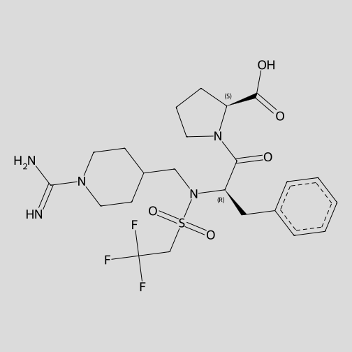 N=C(N)N1CCC(CN([C@H](Cc2ccccc2)C(=O)N2CCC[C@H]2C(=O)O)S(=O)(=O)CC(F)(F)F)CC1